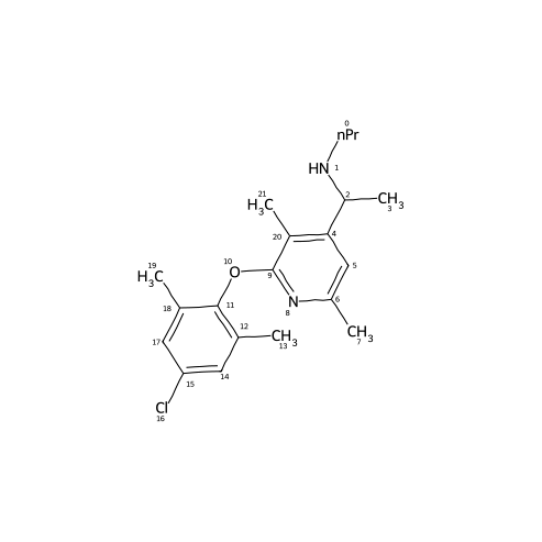 CCCNC(C)c1cc(C)nc(Oc2c(C)cc(Cl)cc2C)c1C